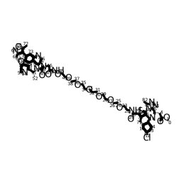 COC(=O)C[C@@H]1N=C(c2ccc(Cl)cc2)c2c(sc(C(=O)NCCOCCOCCOCCOCCOCCOCCONC(=O)Cn3c(=O)n([C@H](C)c4ccccn4)c4c5cc(OC)c(-c6c(C)noc6C)cc5ncc43)c2C)-n2c(C)nnc21